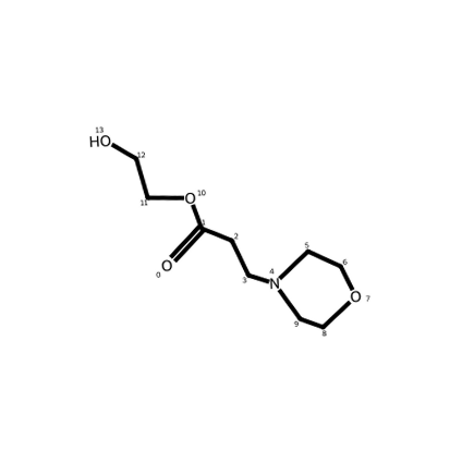 O=C(CCN1CCOCC1)OCCO